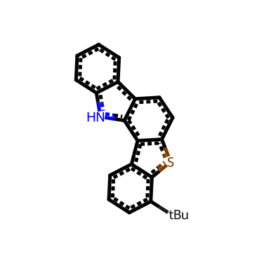 CC(C)(C)c1cccc2c1sc1ccc3c4ccccc4[nH]c3c12